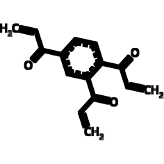 C=CC(=O)c1ccc(C(=O)C=C)c(C(=O)C=C)c1